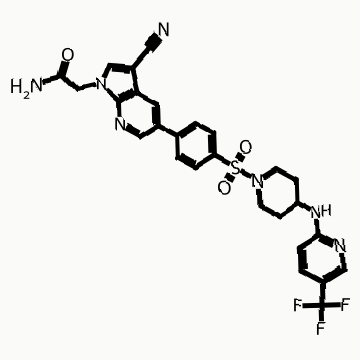 N#Cc1cn(CC(N)=O)c2ncc(-c3ccc(S(=O)(=O)N4CCC(Nc5ccc(C(F)(F)F)cn5)CC4)cc3)cc12